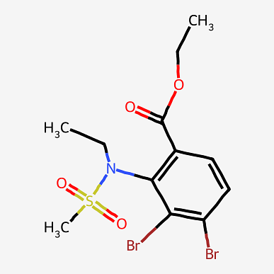 CCOC(=O)c1ccc(Br)c(Br)c1N(CC)S(C)(=O)=O